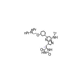 CCCN(CCC)CCOc1cccc(-c2cc(NC3CC3)n3ncc(/C=C4\NC(=O)NC4=O)c3n2)c1